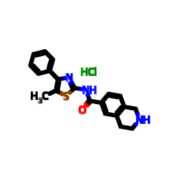 Cc1sc(NC(=O)c2ccc3c(c2)CCNC3)nc1-c1ccccc1.Cl